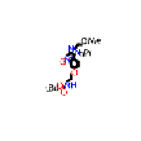 CCCn1c(CCOC)nc2c[n+]([O-])c3cc(OCCCNC(=O)OC(C)(C)C)ccc3c21